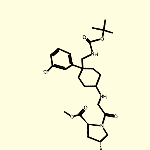 COC(=O)[C@@H]1C[C@@H](O)CN1C(=O)CNC1CCC(CNC(=O)OC(C)(C)C)(c2cccc(Cl)c2)CC1